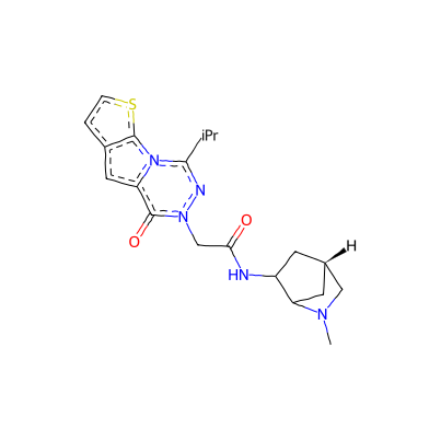 CC(C)c1nn(CC(=O)NC2C[C@H]3CC2N(C)C3)c(=O)c2cc3ccsc3n12